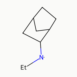 CC[N]C1CC2CCC1C2